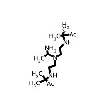 CC(=O)C(C)(C)NCCN(CCNC(C)(C)C(C)=O)C(C)N